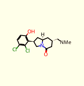 CNC[C@@H]1CC(=O)N2C[C@@H](c3c(O)ccc(Cl)c3Cl)C[C@H]2C1